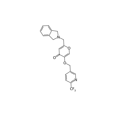 O=c1cc(CN2Cc3ccccc3C2)occ1OCc1ccc(C(F)(F)F)nc1